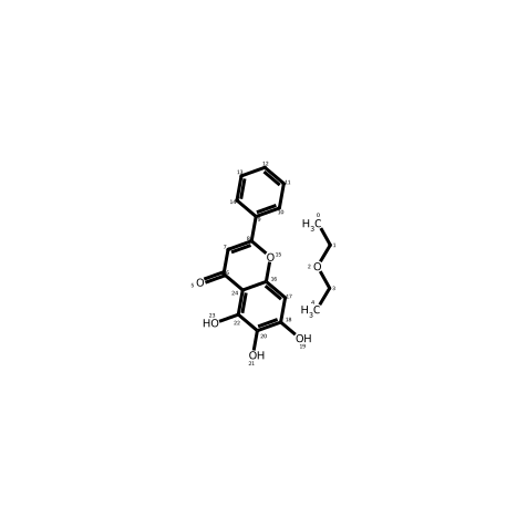 CCOCC.O=c1cc(-c2ccccc2)oc2cc(O)c(O)c(O)c12